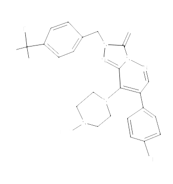 CN1CCN(c2c(-c3ccc(Cl)cc3)cnn3c(=O)n(Cc4ccc(C(F)(F)F)cc4)nc23)CC1